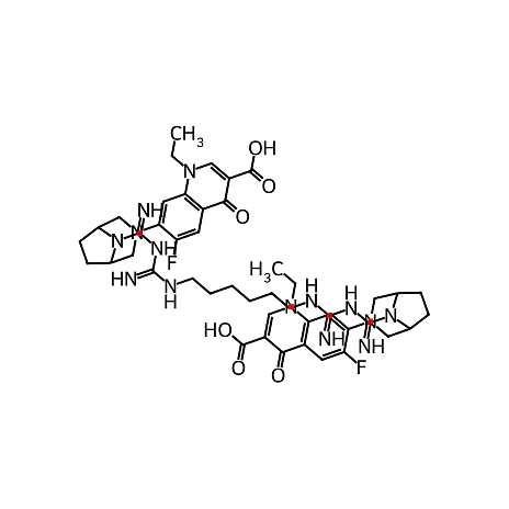 CCn1cc(C(=O)O)c(=O)c2cc(F)c(N3CC4CCC(C3)N4C(=N)NC(=N)NCCCCCCNC(=N)NC(=N)N3C4CCC3CN(c3cc5c(cc3F)c(=O)c(C(=O)O)cn5CC)C4)cc21